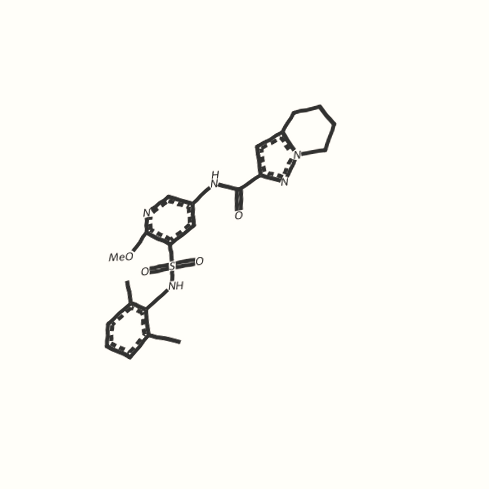 COc1ncc(NC(=O)c2cc3n(n2)CCCC3)cc1S(=O)(=O)Nc1c(C)cccc1C